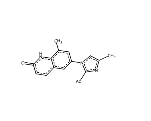 CC(=O)c1nc(C)cn1-c1cc(C)c2[nH]c(=O)ccc2c1